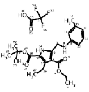 CCOC(=O)c1c(CNc2cccc(C)c2)[nH]c(C(=O)OC(C)(C)C)c1CC.O=C(O)C(F)(F)F